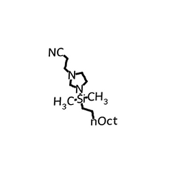 CCCCCCCCCC[Si](C)(C)N1CCN(CCC#N)C1